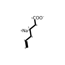 C=CCCCC(=O)[O-].[Na+]